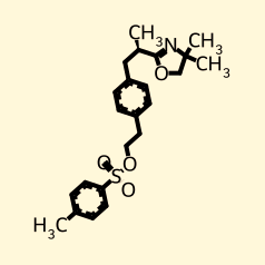 Cc1ccc(S(=O)(=O)OCCc2ccc(C[C@@H](C)C3=NC(C)(C)CO3)cc2)cc1